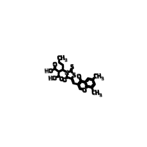 CCCC(C(C(=O)O)C(=O)O)N1C(=O)C(=Cc2coc3c(C)cc(C)cc3c2=O)SC1=S